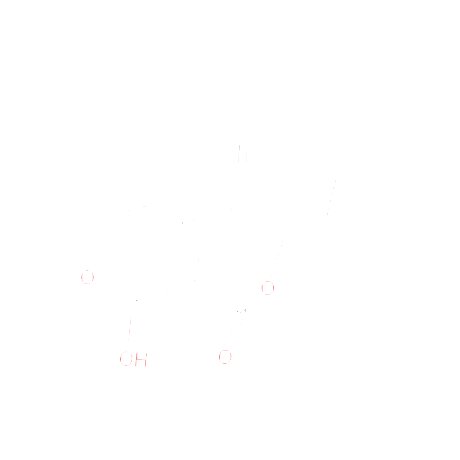 CCc1c(C(=O)O)c(=O)oc2ccccc12